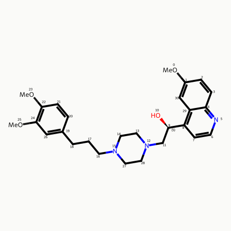 COc1ccc2nccc([C@H](O)CN3CCN(CCCc4ccc(OC)c(OC)c4)CC3)c2c1